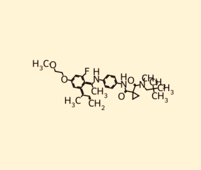 C=C/C(C)=c1/cc(OCCOC)cc(F)/c1=C(/C)Nc1ccc(NC(=O)C2(C(=O)N(C)CC(C)(C)C)CC2)cc1